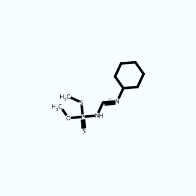 COP(=S)(N/C=N/C1CCCCC1)SC